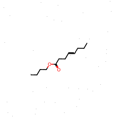 CCC/C=C/CCC(=O)OCCCC